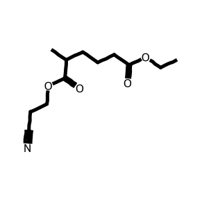 CCOC(=O)CCCC(C)C(=O)OCCC#N